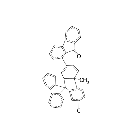 CC12C=CC(c3cccc4c3C(=O)c3ccccc3-4)=CC1C(c1ccccc1)(c1ccccc1)c1cc(Cl)ccc12